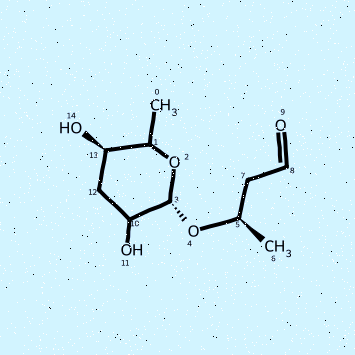 CC1O[C@H](O[C@H](C)CC=O)C(O)C[C@H]1O